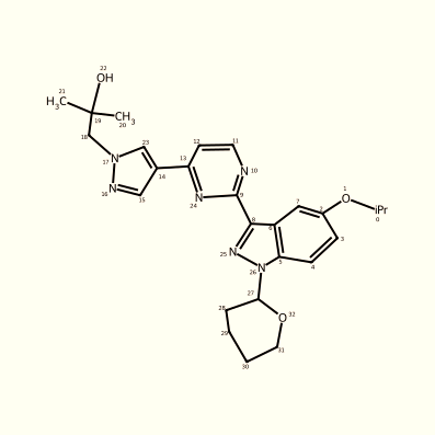 CC(C)Oc1ccc2c(c1)c(-c1nccc(-c3cnn(CC(C)(C)O)c3)n1)nn2C1CCCCO1